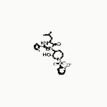 CC(C)CC(NC(=O)c1cccs1)C(=O)NC1CCCN(S(=O)(=O)c2cccc[n+]2[O-])C[C@@H]1O